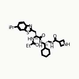 CCC(=O)N[C@@H](Cc1nc2ccc(C(C)C)cc2s1)C(=O)N[C@H](CNC(=O)C1CNC1)C1CCCCC1